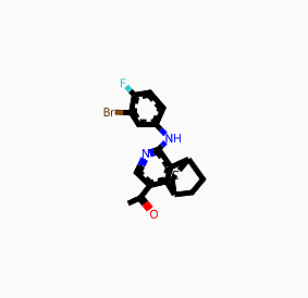 CC(=O)c1cnc(Nc2ccc(F)c(Br)c2)c2c1C1CCC2CC1